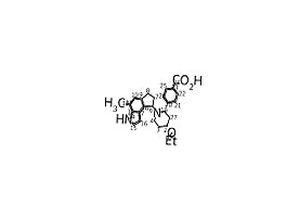 CCO[C@H]1CCN(C2CCc3cc(C)c4[nH]ccc4c32)[C@H](c2ccc(C(=O)O)cc2)C1